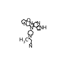 CC(CC#N)N1CCC(n2c(CN3CCCC3=O)nc3cnc4[nH]ccc4c32)CC1